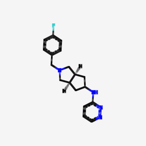 Fc1ccc(CN2C[C@H]3CC(Nc4cccnn4)C[C@H]3C2)cc1